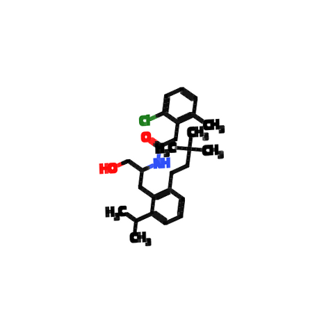 Cc1cccc(Cl)c1CC(=O)NC(CO)Cc1c(CCC(C)(C)C)cccc1C(C)C